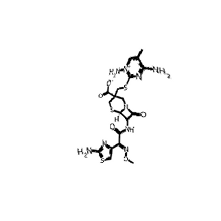 CON=C(C(=O)NC1C(=O)N2CC(CSc3nc(N)c(C)c[n+]3N)(C(=O)[O-])CS[C@H]12)c1csc(N)n1